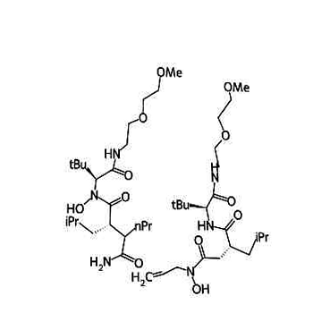 C=CCN(O)C(=O)C[C@@H](CC(C)C)C(=O)N[C@H](C(=O)NCCOCCOC)C(C)(C)C.CCCC(C(N)=O)[C@H](CC(C)C)C(=O)N(O)[C@H](C(=O)NCCOCCOC)C(C)(C)C